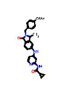 COc1ccc(CN2C(=O)c3ccc(Nc4ccnc(NC(=O)C5CC5)c4)cc3C2C)cc1